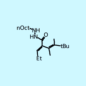 CC/C=C(C(=O)NNCCCCCCCC)\C(C)=C(/C)C(C)(C)C